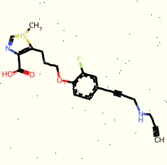 C#CCNCC#Cc1ccc(OCCCC2=C(C(=O)O)N=C[SH]2C)c(F)c1